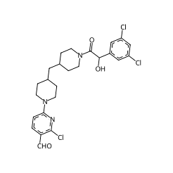 O=Cc1ccc(N2CCC(CC3CCN(C(=O)C(O)c4cc(Cl)cc(Cl)c4)CC3)CC2)nc1Cl